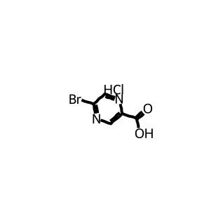 Cl.O=C(O)c1cnc(Br)cn1